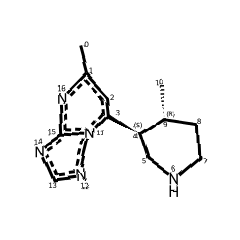 Cc1cc([C@@H]2CNCC[C@H]2C)n2ncnc2n1